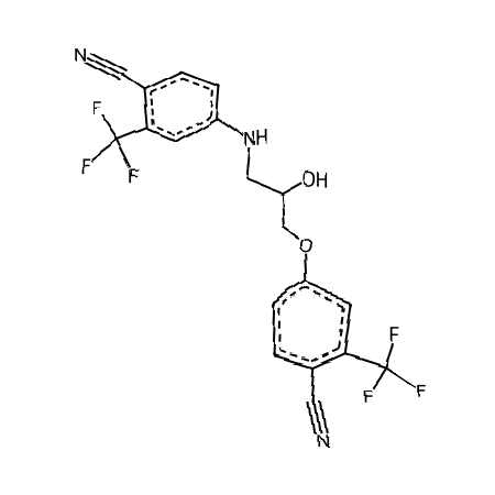 N#Cc1ccc(NCC(O)COc2ccc(C#N)c(C(F)(F)F)c2)cc1C(F)(F)F